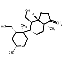 C=C1CC[C@H]2[C@H](CO)[C@@H]([C@@]3(C)CC[C@H](O)C[C@@H]3CO)CC[C@]12C